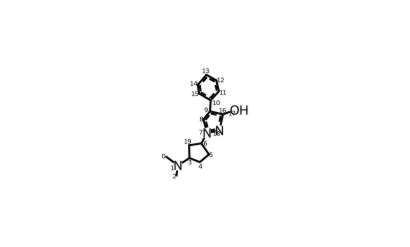 CN(C)C1CCC(n2cc(-c3ccccc3)c(O)n2)C1